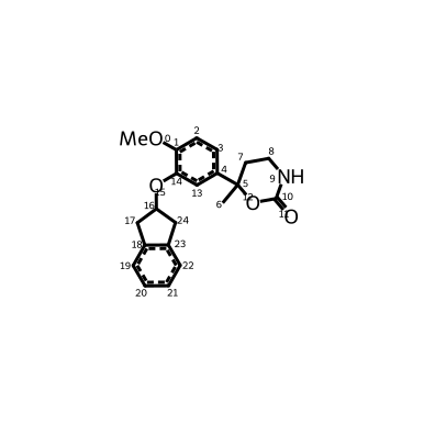 COc1ccc(C2(C)CCNC(=O)O2)cc1OC1Cc2ccccc2C1